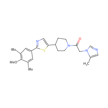 COc1c(C(C)(C)C)cc(-c2ncc(C3CCN(C(=O)Cn4cncc4C)CC3)s2)cc1C(C)(C)C